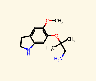 COc1cc2c(cc1OC(C)(C)CN)NCC2